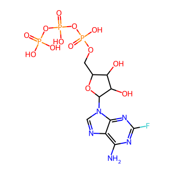 Nc1nc(F)nc2c1ncn2C1OC(COP(=O)(O)OP(=O)(O)OP(=O)(O)O)C(O)C1O